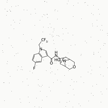 O=C(NC1CC2COCC(C1)N2C(=O)O)c1cn(CC(F)(F)F)c2ccc(F)cc12